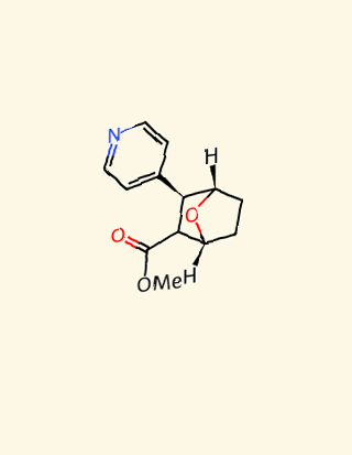 COC(=O)C1[C@@H](c2ccncc2)[C@@H]2CC[C@H]1O2